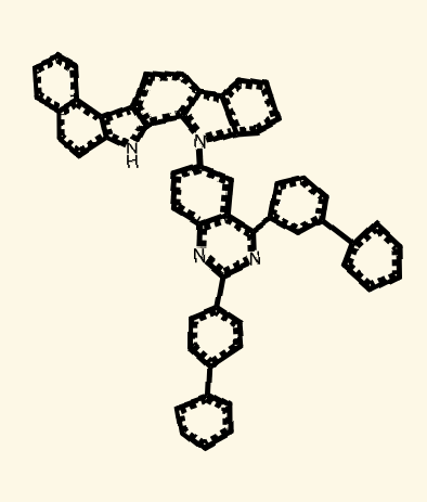 c1ccc(-c2ccc(-c3nc(-c4cccc(-c5ccccc5)c4)c4cc(-n5c6ccccc6c6ccc7c([nH]c8ccc9ccccc9c87)c65)ccc4n3)cc2)cc1